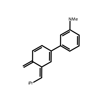 C=c1ccc(-c2cccc(NC)c2)c/c1=C/C(C)C